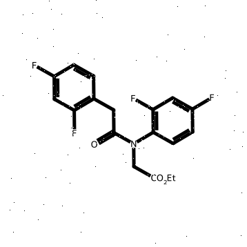 CCOC(=O)CN(C(=O)Cc1ccc(F)cc1F)c1ccc(F)cc1F